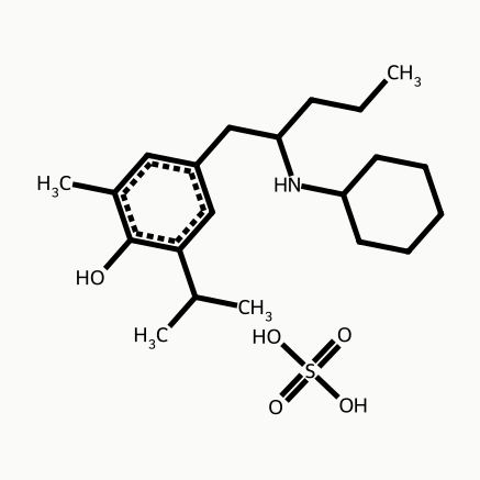 CCCC(Cc1cc(C)c(O)c(C(C)C)c1)NC1CCCCC1.O=S(=O)(O)O